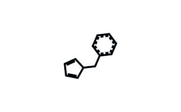 C1=CC(Cc2ccccc2)C=C1